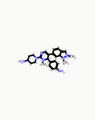 CN1C(N2CCC(N)CC2)=NC=C(C2=CC3C(=CN(C)N3C)C=C2)C1c1ccc(N)cc1